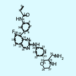 C=CC(=O)Nc1cccc(-c2c(F)ccc3cnc(Nc4ccc([C@H]5OCCNC5CN)nc4)nc23)c1